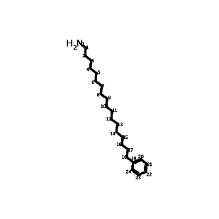 NCCCCCCCCCCCCCCCCCCc1ccccc1